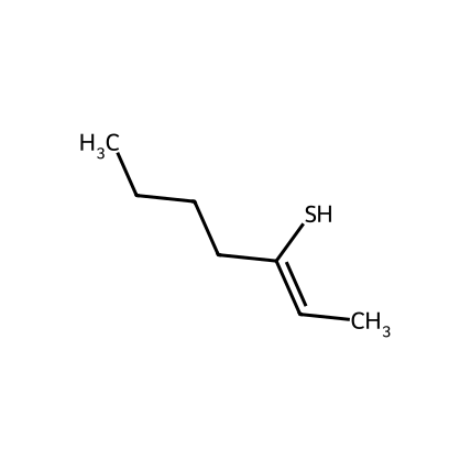 CC=C(S)CCCC